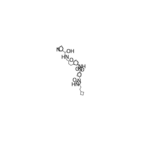 O=c1[nH]c(CCC2CCC2)cn1-c1ccc(S(=O)(=O)Nc2ccc3c(c2)CCC(CNCC(O)c2cccnc2)O3)cc1